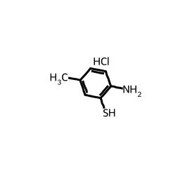 Cc1ccc(N)c(S)c1.Cl